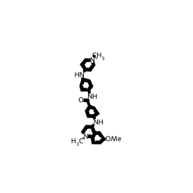 COc1ccc2c(c1)c(Nc1ccc(C(=O)Nc3ccc(Nc4cc[n+](C)cc4)cc3)cc1)cc[n+]2C